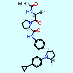 COC(=O)N[C@H](C(=O)N1CCC[C@H]1C(=O)Nc1ccc([C@@H]2CC[C@@H](I)N2c2ccc(C3CC3)cc2)cc1)C(C)C